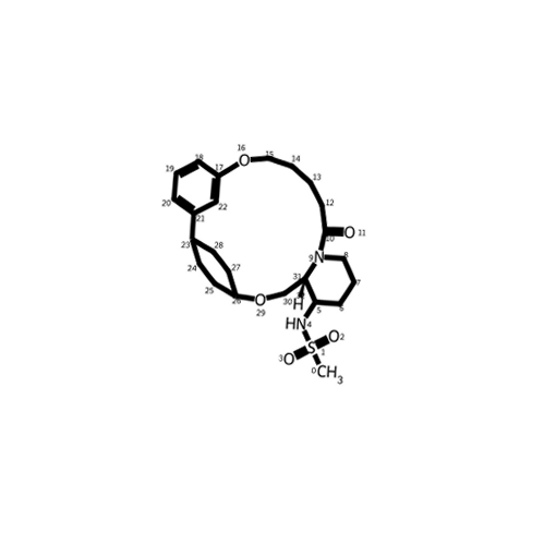 CS(=O)(=O)NC1CCCN2C(=O)CCCCOc3cccc(c3)C3CCC(CC3)OC[C@@H]12